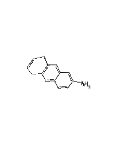 Nc1ccc2cc3c(cc2c1)CC=CC3